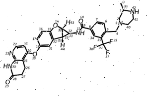 C[C@@H]1CN(Cc2ccc(C(=O)N[C@@H]3[C@H]4Oc5ccc(Oc6ccnc7c6CCC(=O)N7)cc5[C@@H]34)cc2C(F)(F)F)CCN1